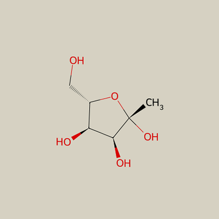 C[C@]1(O)O[C@@H](CO)[C@H](O)[C@@H]1O